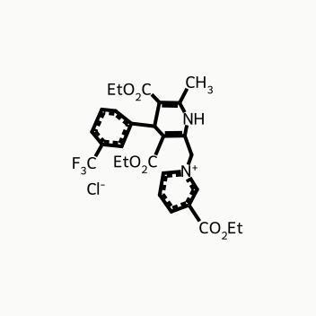 CCOC(=O)C1=C(C)NC(C[n+]2cccc(C(=O)OCC)c2)=C(C(=O)OCC)C1c1cccc(C(F)(F)F)c1.[Cl-]